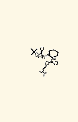 CC(C)(C)OC(=O)N[C@@H]1CCCC[C@@H]1C(=O)OCC[Si](C)(C)C